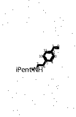 C=Cc1ccc(CCNC(C)CCC)cc1